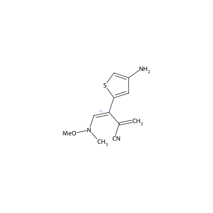 C=C(C#N)/C(=C\N(C)OC)c1cc(N)cs1